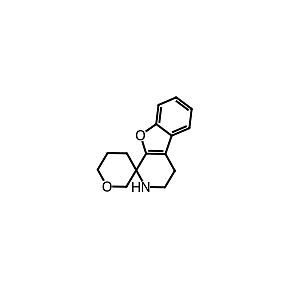 c1ccc2c3c(oc2c1)C1(CCCOC1)NCC3